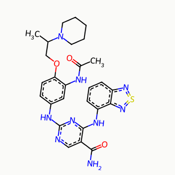 CC(=O)Nc1cc(Nc2ncc(C(N)=O)c(Nc3cccc4nsnc34)n2)ccc1OCC(C)N1CCCCC1